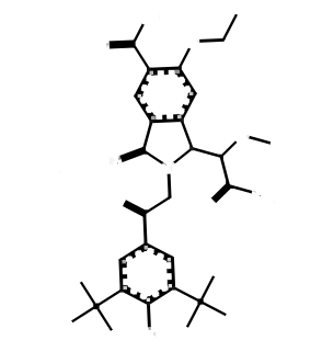 Br.CCOc1cc2c(cc1C(=O)O)C(=N)N(CC(=O)c1cc(C(C)(C)C)c(O)c(C(C)(C)C)c1)C2C(OC)C(N)=O